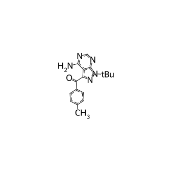 Cc1ccc(C(=O)c2nn(C(C)(C)C)c3ncnc(N)c23)cc1